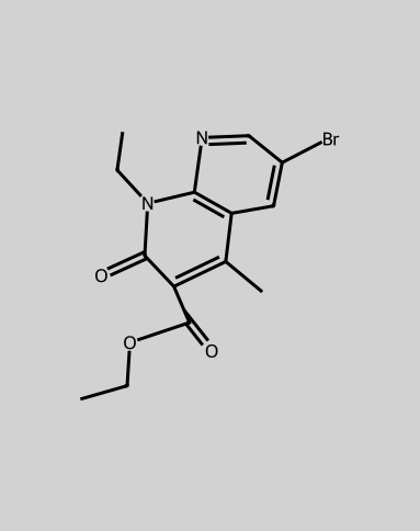 CCOC(=O)c1c(C)c2cc(Br)cnc2n(CC)c1=O